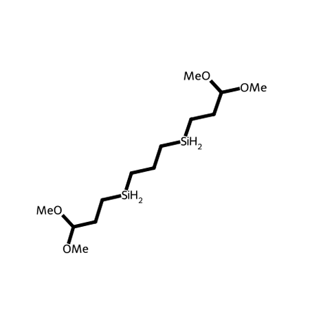 COC(CC[SiH2]CCC[SiH2]CCC(OC)OC)OC